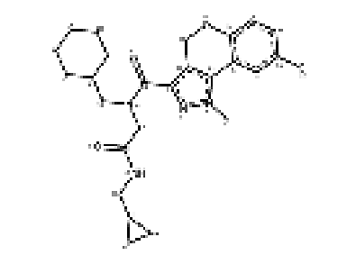 Cn1nc(C(=O)N(CC(=O)NCC2CC2)CC2CCCCC2)c2c1-c1cc(Cl)ccc1OC2